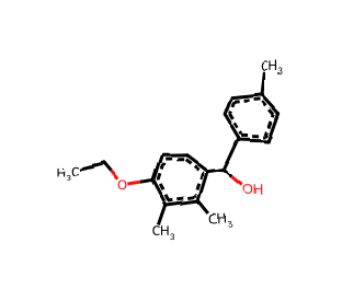 CCOc1ccc(C(O)c2ccc(C)cc2)c(C)c1C